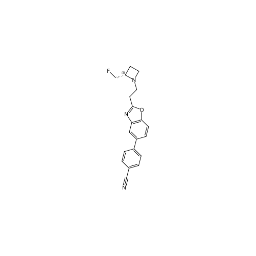 N#Cc1ccc(-c2ccc3oc(CCN4CC[C@H]4CF)nc3c2)cc1